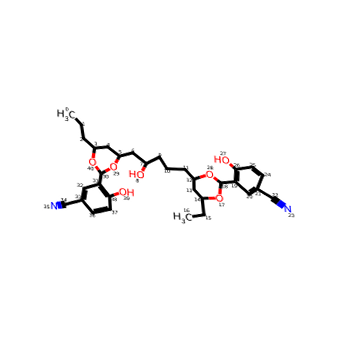 CCCC1CC(CC(O)CCCC2CC(CC)OC(c3cc(C#N)ccc3O)O2)OC(c2cc(C#N)ccc2O)O1